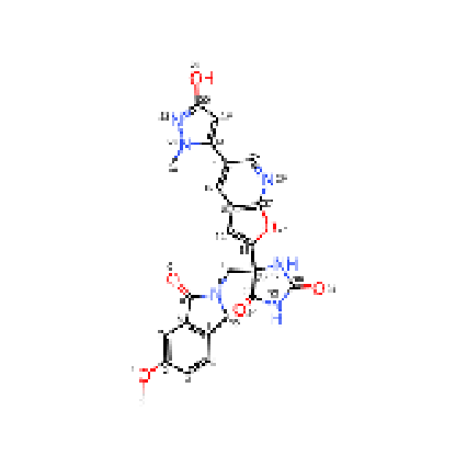 COc1ccc2c(c1)C(=O)N(C[C@@]1(c3cc4cc(-c5cc(O)nn5C)cnc4o3)NC(=O)NC1=O)C2